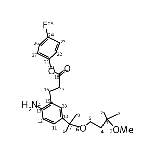 COC(C)(C)CCOC(C)(C)c1ccc(N)c(CCC(=O)Oc2ccc(F)cc2)c1